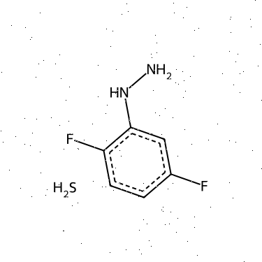 NNc1cc(F)ccc1F.S